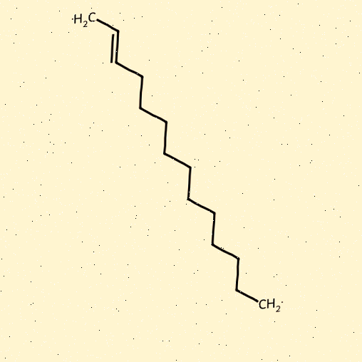 [CH2]C=CCCCCCCCCCC[CH2]